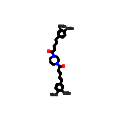 COc1ccc(/C=C/C=C/C(=O)N2CCCN(C(=O)/C=C/C=C/c3ccc(OC)c(OC)c3)CC2)cc1OC